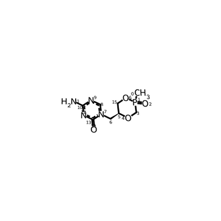 CP1(=O)CO[C@@H](Cn2cnc(N)nc2=O)CO1